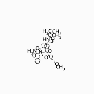 COCCCOC(=O)c1oc2ccccc2c1C1C[C@@H](c2ccccc2)[C@@H](C(N)=O)N1C(=O)[C@H]1CC[C@H]([C@@H](CF)NC(=O)OC(C)(C)C)CC1